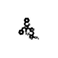 Cc1noc(C)c1Cn1cc(-n2c(=O)n(Cc3ccccc3)n(Cc3ccccc3)c2=O)cn1